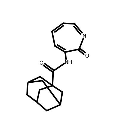 O=C(Nc1ccccnc1=O)C12CC3CC(CC(C3)C1)C2